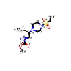 CC(C)CS(=O)(=O)N1CCN([C@@H](CNC(=O)OC(C)(C)C)C(=O)O)CC1